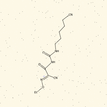 CCO/N=C(\C#N)C(=O)NC(=O)NCCCCCC#N